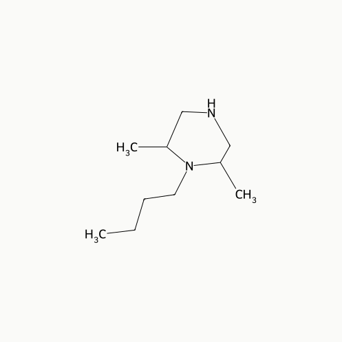 CCCCN1C(C)CNCC1C